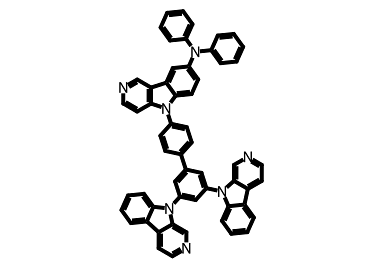 c1ccc(N(c2ccccc2)c2ccc3c(c2)c2cnccc2n3-c2ccc(-c3cc(-n4c5ccccc5c5ccncc54)cc(-n4c5ccccc5c5ccncc54)c3)cc2)cc1